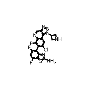 Nc1nc2c(-c3c(Cl)cc4c(ncc5nnn(C6CNC6)c54)c3F)c(F)cc(F)c2s1